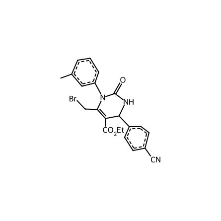 CCOC(=O)C1=C(CBr)N(c2cccc(C)c2)C(=O)NC1c1ccc(C#N)cc1